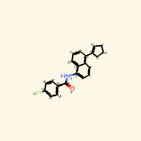 O=C(Nc1cccc2c(C3=CCCC3)cccc12)c1ccc(F)cc1